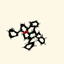 c1ccc(-c2ccc(-c3ccccc3-c3c4ccccc4c(-c4ccccc4)c4c3cnc3ccccc34)cc2)cc1